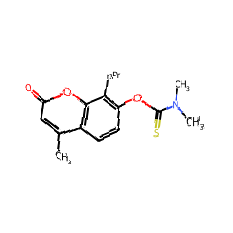 CCCc1c(OC(=S)N(C)C)ccc2c(C)cc(=O)oc12